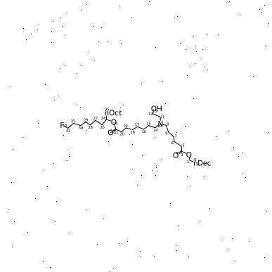 CCCCCCCCCCCOC(=O)CCCCCN(CCO)CCCCCCCC(=O)OC(CCCCCCCC)CCCCCCCF